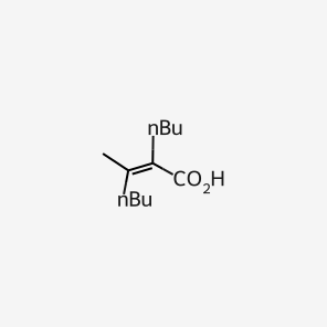 CCCC/C(C)=C(/CCCC)C(=O)O